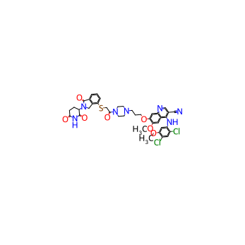 COc1cc(Nc2c(C#N)cnc3cc(OCCCN4CCN(C(=O)CSc5cccc6c5CN(C5CCC(=O)NC5=O)C6=O)CC4)c(OC)cc23)c(Cl)cc1Cl